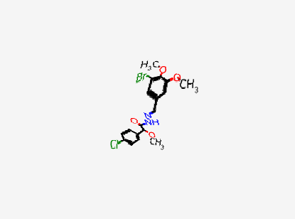 COc1cc(/C=N/NC(=O)C(OC)c2ccc(Cl)cc2)cc(Br)c1OC